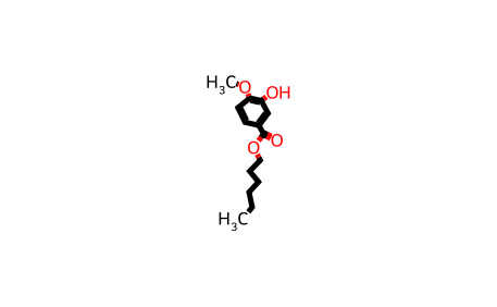 CCCCCCOC(=O)c1ccc(OC)c(O)c1